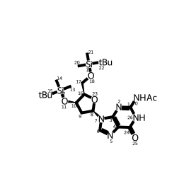 CC(=O)Nc1nc2c(ncn2[C@H]2C[C@@H](O[Si](C)(C)C(C)(C)C)[C@@H](CO[Si](C)(C)C(C)(C)C)O2)c(=O)[nH]1